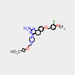 Nc1nc2c(c(N3CCN(CCOC4CC(C(=O)O)C4)CC3)n1)CCc1cc(OCc3ccc(OC(F)(F)F)c(F)c3)ccc1-2